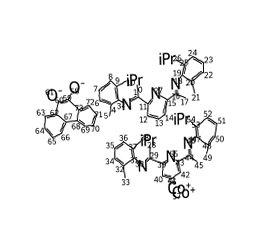 CC(=Nc1c(C)cccc1C(C)C)c1cccc(C(C)=Nc2c(C)cccc2C(C)C)n1.CC(=Nc1c(C)cccc1C(C)C)c1cccc(C(C)=Nc2c(C)cccc2C(C)C)n1.[Co+].[Co+].[O-]c1c([O-])c2ccccc2c2ccccc12